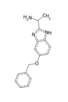 CC(N)c1nc2cc(OCc3ccccc3)ccc2[nH]1